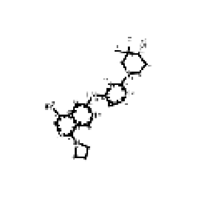 CC(C)c1cnc(N2CCC2)c2cnc(Nc3ccnc(N4CC[C@@H](O)[C@@](C)(F)C4)n3)cc12